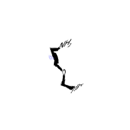 CCCCO/C=C\N